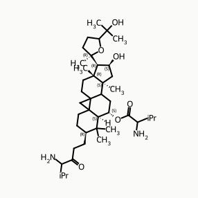 CC(C)C(N)C(=O)CC[C@H]1CCC23CC24CC[C@]2(C)[C@@H]([C@@]5(C)CCC(C(C)(C)O)O5)[C@@H](O)C[C@@]2(C)C4C[C@H](OC(=O)C(N)C(C)C)[C@H]3C1(C)C